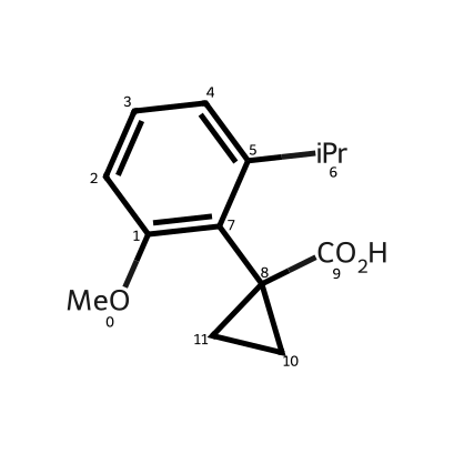 COc1cccc(C(C)C)c1C1(C(=O)O)CC1